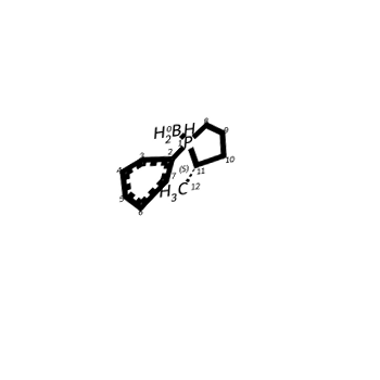 B[PH]1(c2ccccc2)CCC[C@@H]1C